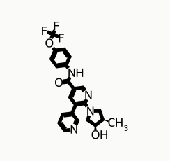 C[C@H]1CN(c2ncc(C(=O)Nc3ccc(OC(F)(F)F)cc3)cc2-c2cccnc2)C[C@@H]1O